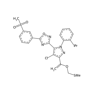 C=C(OCSC)c1nn(-c2ccccc2C(C)C)c(-c2noc(-c3cccc(S(C)(=O)=O)c3)n2)c1Cl